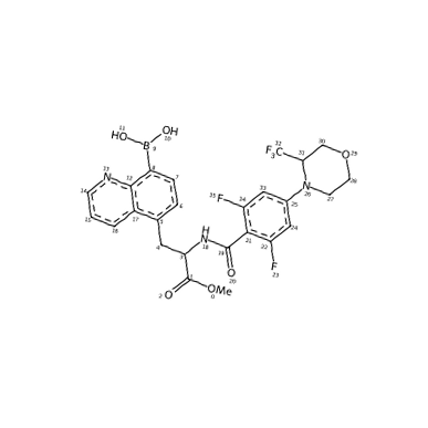 COC(=O)C(Cc1ccc(B(O)O)c2ncccc12)NC(=O)c1c(F)cc(N2CCOCC2C(F)(F)F)cc1F